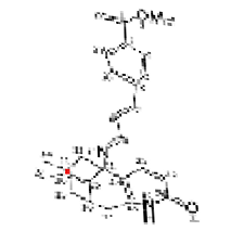 C=C(OC)c1ccc(/C=C/C=N/C23CC(C)=CC(Cc4[nH]c(=O)ccc42)/C3=C\C)cc1